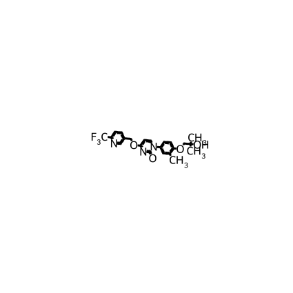 Cc1cc(-n2ccc(OCc3ccc(C(F)(F)F)nc3)nc2=O)ccc1OCC(C)(C)O